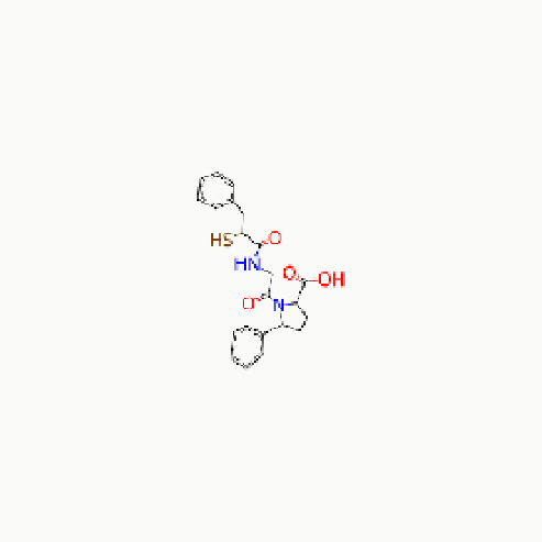 O=C(NCC(=O)N1C(C(=O)O)CCC1c1ccccc1)C(S)Cc1ccccc1